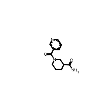 NC(=O)C1CCCN(C(=O)c2cccnc2)C1